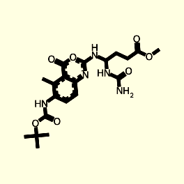 COC(=O)CCC(NC(N)=O)Nc1nc2ccc(NC(=O)OC(C)(C)C)c(C)c2c(=O)o1